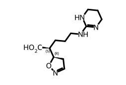 O=C(O)[C@@H](CCCNC1=NCCCN1)[C@H]1CC=NO1